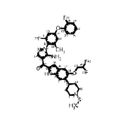 CSN1CCC(c2cc3[nH]c(C(=O)c4cnn(-c5c(C)cc(Oc6ccccc6F)cc5F)c4N)cc3cc2OCC(F)F)CC1